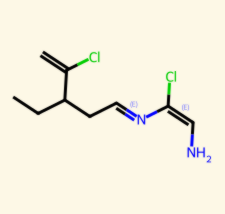 C=C(Cl)C(CC)C/C=N/C(Cl)=C\N